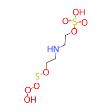 O=S(=O)(O)OCCNCCOSOOO